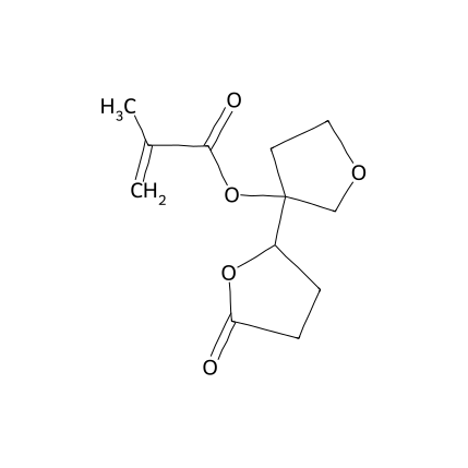 C=C(C)C(=O)OC1(C2CCC(=O)O2)CCOC1